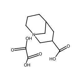 O=C(O)C(=O)O.O=C(O)C1CC2CCCN(C2)C1